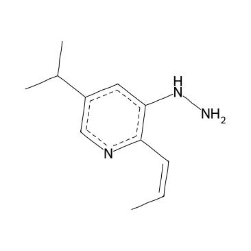 C/C=C\c1ncc(C(C)C)cc1NN